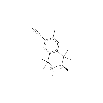 Cc1cc2c(cc1C#N)C(C)(C)[C@@H](C)[C@H](C)C2(C)C